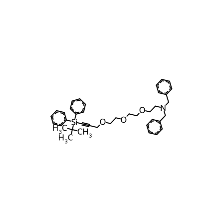 CC(C)(C)[Si](C#CCOCCOCCOCCN(Cc1ccccc1)Cc1ccccc1)(c1ccccc1)c1ccccc1